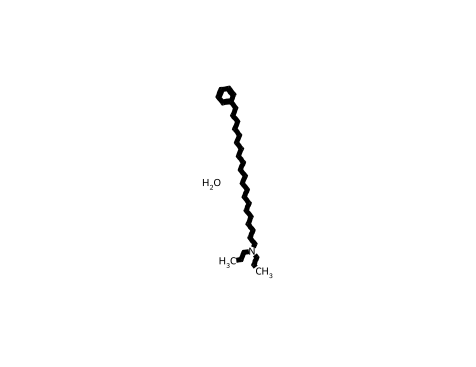 CCCN(CCC)CCCCCCCCCCCCCCCCCCCCCc1ccccc1.O